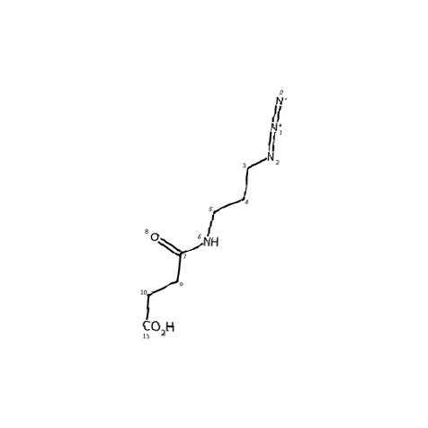 [N-]=[N+]=NCCCNC(=O)CCC(=O)O